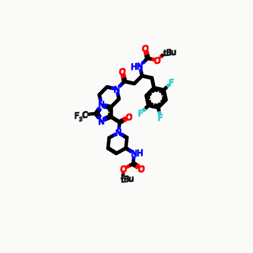 CC(C)(C)OC(=O)NC(CC(=O)N1CCn2c(C(F)(F)F)nc(C(=O)N3CCCC(NC(=O)OC(C)(C)C)C3)c2C1)Cc1cc(F)c(F)cc1F